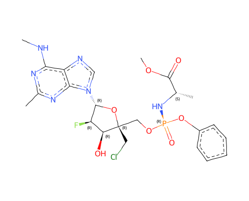 CNc1nc(C)nc2c1ncn2[C@@H]1O[C@](CCl)(CO[P@](=O)(N[C@@H](C)C(=O)OC)Oc2ccccc2)[C@@H](O)[C@H]1F